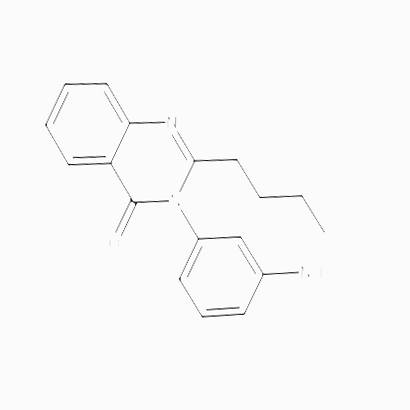 CCCCc1nc2ccccc2c(=O)n1-c1cccc(N)c1